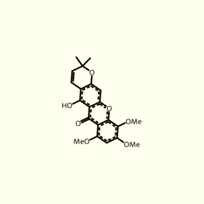 COc1cc(OC)c2c(=O)c3c(O)c4c(cc3oc2c1OC)OC(C)(C)C=C4